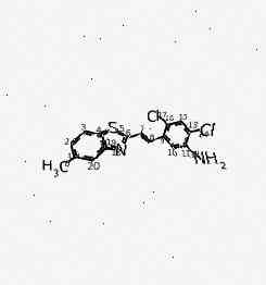 Cc1ccc2sc(C=Cc3cc(N)c(Cl)cc3Cl)nc2c1